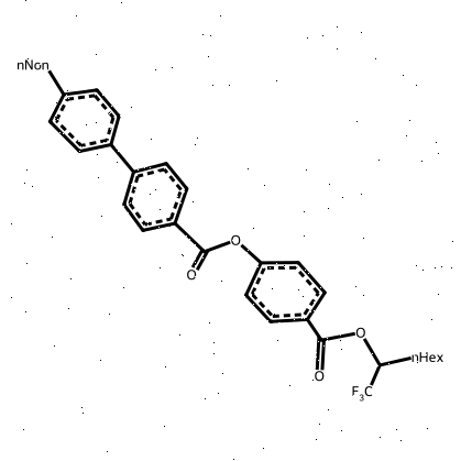 CCCCCCCCCc1ccc(-c2ccc(C(=O)Oc3ccc(C(=O)OC(CCCCCC)C(F)(F)F)cc3)cc2)cc1